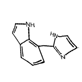 [c]1c[nH]c(-c2cccc3cc[nH]c23)n1